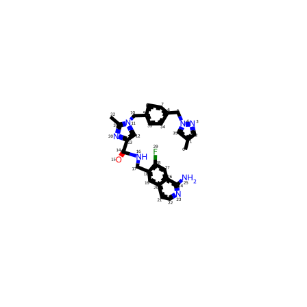 Cc1cnn(Cc2ccc(Cn3cc(C(=O)NCc4cc5ccnc(N)c5cc4F)nc3C)cc2)c1